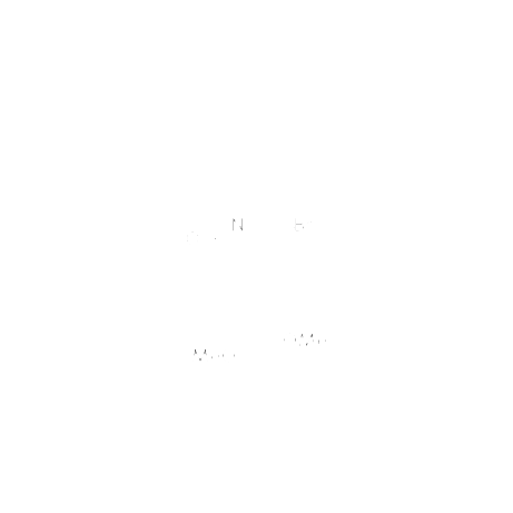 C#CCN1C(=O)c2cc(OC)c(OC)cc2C1Br